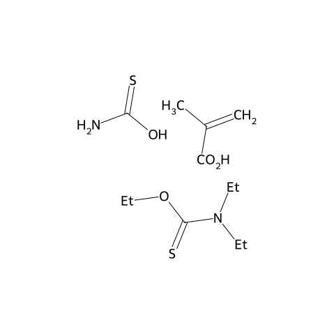 C=C(C)C(=O)O.CCOC(=S)N(CC)CC.NC(O)=S